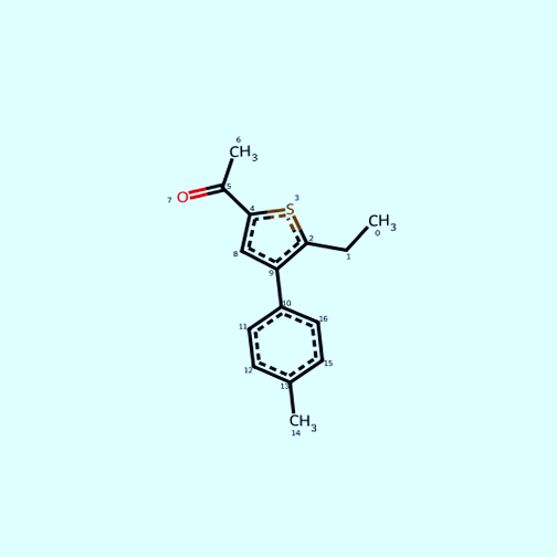 CCc1sc(C(C)=O)cc1-c1ccc(C)cc1